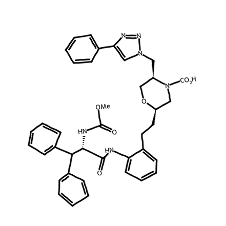 COC(=O)N[C@H](C(=O)Nc1ccccc1CC[C@@H]1CN(C(=O)O)[C@H](Cn2cc(-c3ccccc3)nn2)CO1)C(c1ccccc1)c1ccccc1